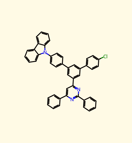 Clc1ccc(-c2cc(-c3ccc(-n4c5ccccc5c5ccccc54)cc3)cc(-c3cc(-c4ccccc4)nc(-c4ccccc4)n3)c2)cc1